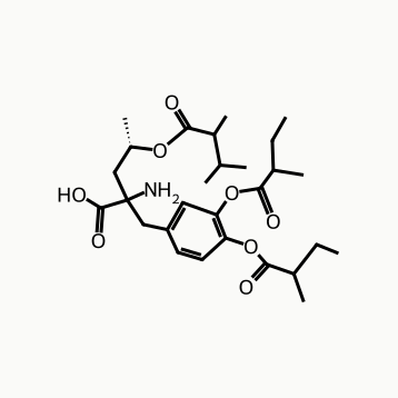 CCC(C)C(=O)Oc1ccc(CC(N)(C[C@H](C)OC(=O)C(C)C(C)C)C(=O)O)cc1OC(=O)C(C)CC